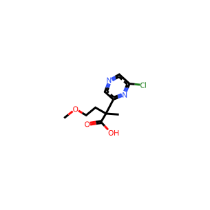 COCCC(C)(C(=O)O)c1cncc(Cl)n1